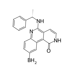 Bc1ccc2nc(N[C@@H](C)c3ccccc3)c3cc[nH]c(=O)c3c2c1